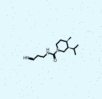 CC(C)[C@H]1CN(C(=O)NCCC=N)CC[C@H]1C